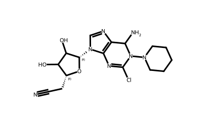 N#CC[C@H]1O[C@@H](n2cnc3c2N=C(Cl)N(N2CCCCC2)C3N)C(O)C1O